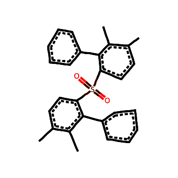 Cc1ccc(S(=O)(=O)c2ccc(C)c(C)c2-c2ccccc2)c(-c2ccccc2)c1C